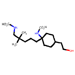 CC(C)(CCCC1(NC(=O)O)CCC(CCO)CC1)CNC(=O)O